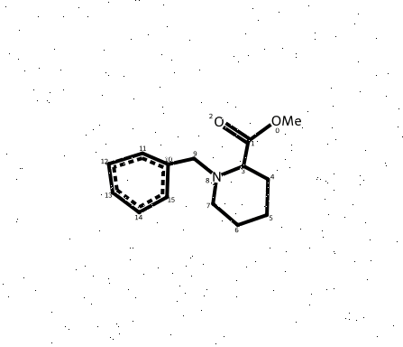 COC(=O)C1CCCCN1Cc1ccccc1